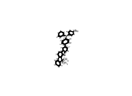 CC(C)(C)c1ccc(N(c2ccccc2)c2ccc(-c3ccc4sc5c6c(ccc5c4c3)-c3ccccc3C6(C)C)cc2)cc1